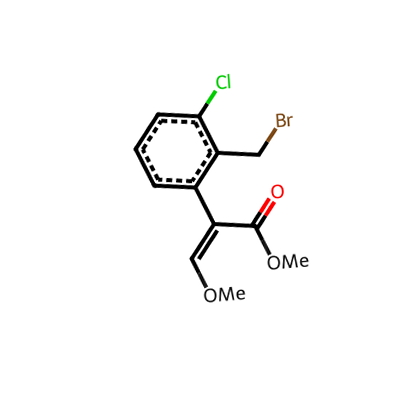 COC=C(C(=O)OC)c1cccc(Cl)c1CBr